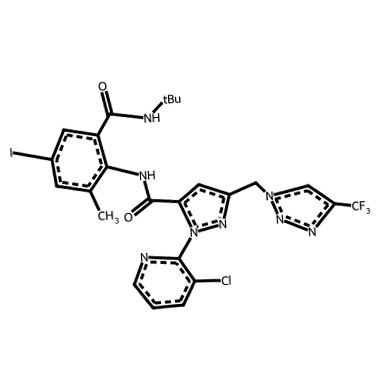 Cc1cc(I)cc(C(=O)NC(C)(C)C)c1NC(=O)c1cc(Cn2cc(C(F)(F)F)nn2)nn1-c1ncccc1Cl